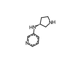 c1cncc(N[C@H]2CCNC2)c1